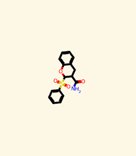 NC(=O)C1Cc2ccccc2OC1S(=O)(=O)c1ccccc1